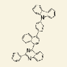 c1ccc(-c2nc(-c3ccc(-c4ccc(-n5c6ccccc6c6ccccc65)cc4)c4ccccc34)c3ccccc3n2)cc1